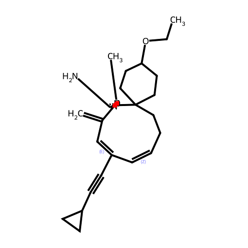 C=C1/C=C(C#CC2CC2)\C=C/CCC2(CCC(OCC)CC2)C12N=C(N)N(C)O2